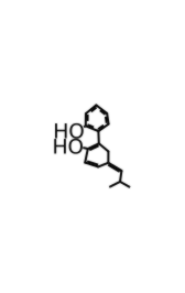 CC(C)C=C1C=CC(O)=C(c2ccccc2O)C1